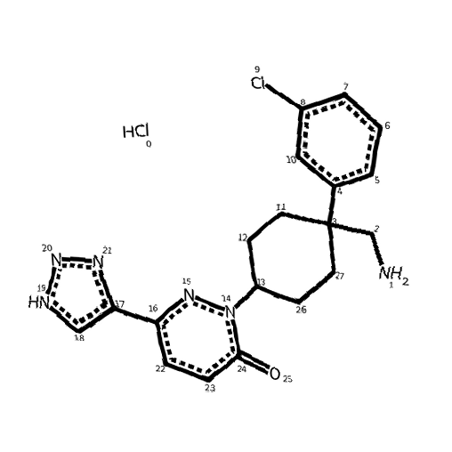 Cl.NCC1(c2cccc(Cl)c2)CCC(n2nc(-c3c[nH]nn3)ccc2=O)CC1